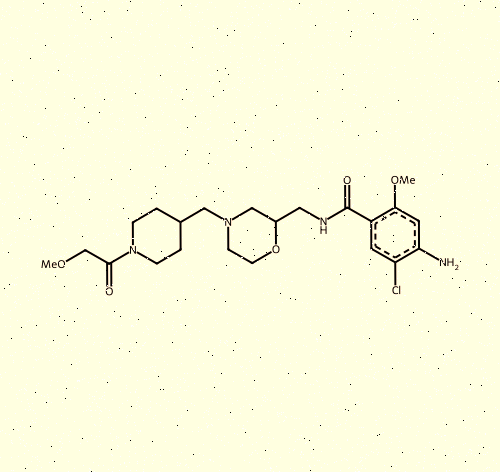 COCC(=O)N1CCC(CN2CCOC(CNC(=O)c3cc(Cl)c(N)cc3OC)C2)CC1